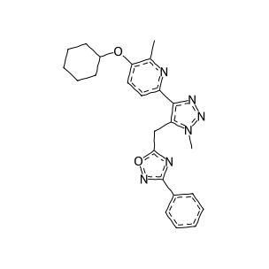 Cc1nc(-c2nnn(C)c2Cc2nc(-c3ccccc3)no2)ccc1OC1CCCCC1